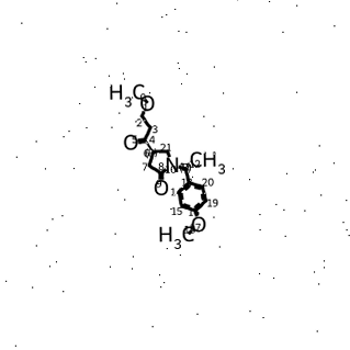 COCCC(=O)[C@@H]1CC(=O)N([C@H](C)c2ccc(OC)cc2)C1